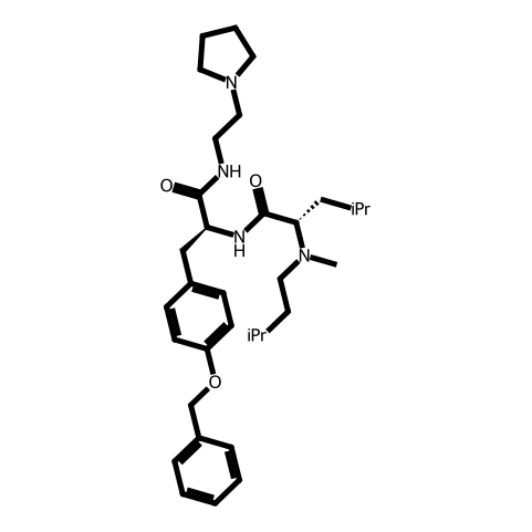 CC(C)CCN(C)[C@@H](CC(C)C)C(=O)N[C@@H](Cc1ccc(OCc2ccccc2)cc1)C(=O)NCCN1CCCC1